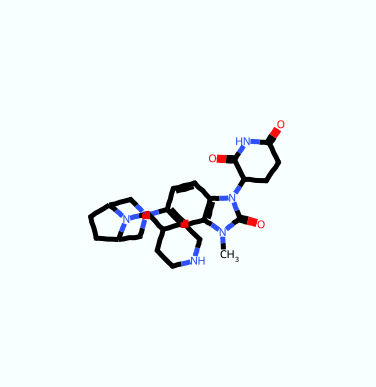 Cn1c(=O)n(C2CCC(=O)NC2=O)c2ccc(N3CC4CCC(C3)N4CC3CCNCC3)cc21